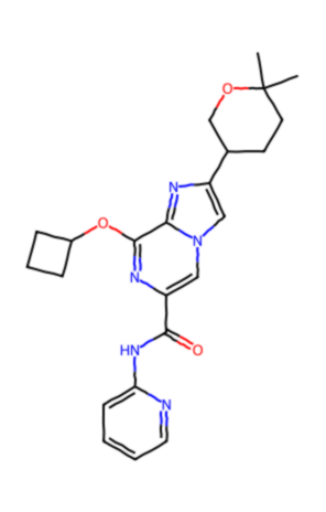 CC1(C)CCC(c2cn3cc(C(=O)Nc4ccccn4)nc(OC4CCC4)c3n2)CO1